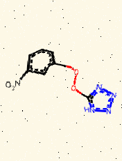 O=[N+]([O-])c1cccc(OOc2nnn[nH]2)c1